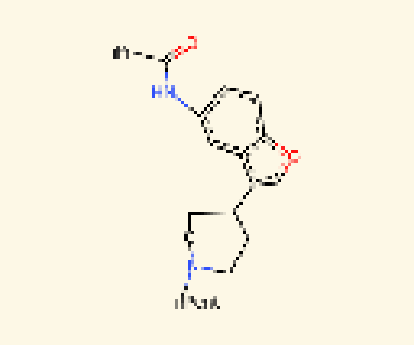 CCCCCN1CCC(c2coc3ccc(NC(=O)C(C)C)cc23)CC1